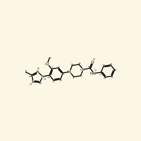 COc1cc(N2CCN(C(=O)Nc3ccccc3)CC2)ccc1-n1cnc(C)n1